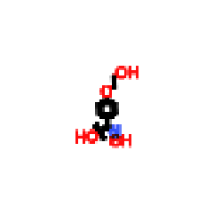 CC(C)(O)/C(=N\O)c1ccc(OCCO)cc1